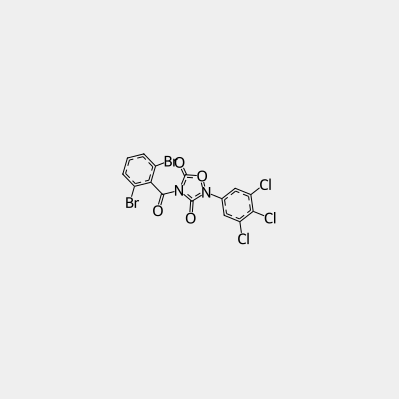 O=C(c1c(Br)cccc1Br)n1c(=O)on(-c2cc(Cl)c(Cl)c(Cl)c2)c1=O